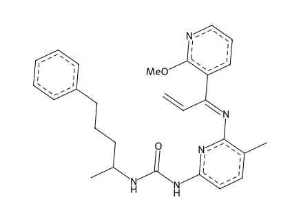 C=C/C(=N\c1nc(NC(=O)NC(C)CCCc2ccccc2)ccc1C)c1cccnc1OC